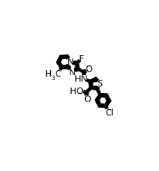 Cc1cccn2c(F)c(C(=O)Nc3csc(-c4ccc(Cl)cc4)c3C(=O)O)nc12